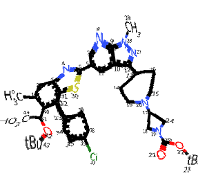 Cc1cc2nc(-c3cnc4c(c3)c(C3CCN(C5CN(C(=O)OC(C)(C)C)C5)CC3)nn4C)sc2c(-c2ccc(Cl)cc2)c1C(OC(C)(C)C)C(=O)O